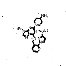 CCN(C)c1ccn(-c2ccccc2CNc2nc(N3CCC(N)CC3)nc3c2ncn3C(C)C)n1